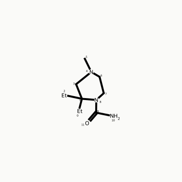 CCC1(CC)CN(C)CCN1C(N)=O